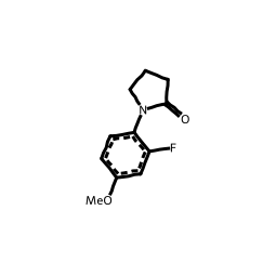 COc1ccc(N2CCCC2=O)c(F)c1